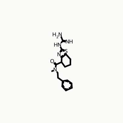 CN(CCc1ccccc1)C(=O)C1CCCc2sc(NC(=N)N)nc21